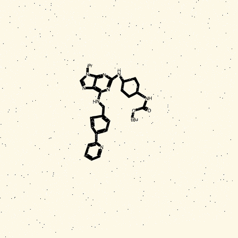 CC(C)n1cnc2c(NCc3ccc(-c4ccccn4)cc3)nc(NC3CCC(NC(=O)OC(C)(C)C)CC3)nc21